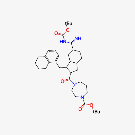 CC(C)(C)OC(=O)NC(=N)C1CCC2CC(C(=O)N3CCCN(C(=O)OC(C)(C)C)CC3)C(Cc3cccc4c3CCCC4)C2C1